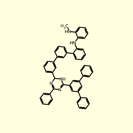 CNc1ccccc1Nc1ccccc1-c1cccc(-c2cccc(C3N=C(c4ccccc4)N=C(c4cc(-c5ccccc5)cc(-c5ccccc5)c4)N3)c2)c1